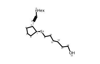 CCCCCCC#C[C@H]1CCC[C@@H]1SCCCCCCO